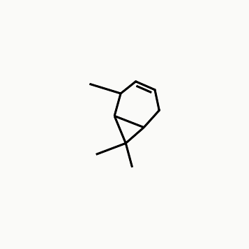 CC1C=CCC2C1C2(C)C